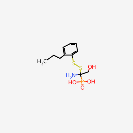 CCCc1ccccc1SSC(N)(CO)P(=O)(O)O